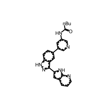 CCCCC(=O)Nc1cncc(-c2ccc3[nH]nc(-c4cc5cccnc5[nH]4)c3c2)c1